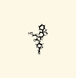 CN(C)[C@]1(C2C=CC=CC2)CC[C@]2(CC1)CN(c1cnc(C#N)nc1)C(=O)N2CCO